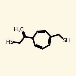 C=C(CS)C1C=CC=C(CS)C=C1